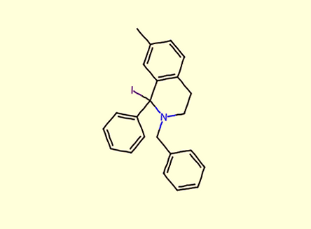 Cc1ccc2c(c1)C(I)(c1ccccc1)N(Cc1ccccc1)CC2